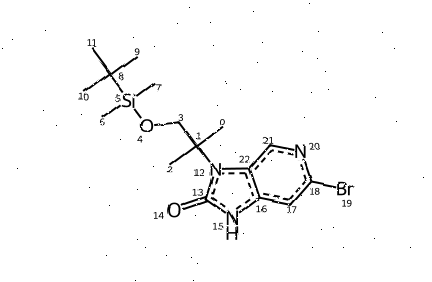 CC(C)(CO[Si](C)(C)C(C)(C)C)n1c(=O)[nH]c2cc(Br)ncc21